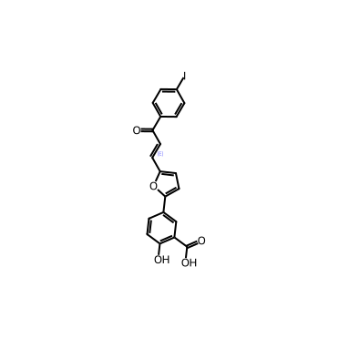 O=C(/C=C/c1ccc(-c2ccc(O)c(C(=O)O)c2)o1)c1ccc(I)cc1